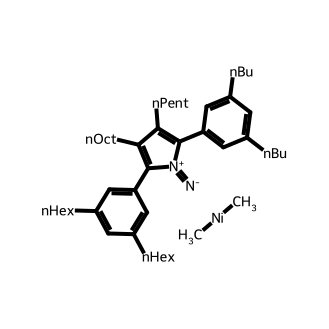 CCCCCCCCC1=C(c2cc(CCCCCC)cc(CCCCCC)c2)[N+](=[N-])C(c2cc(CCCC)cc(CCCC)c2)=C1CCCCC.[CH3][Ni][CH3]